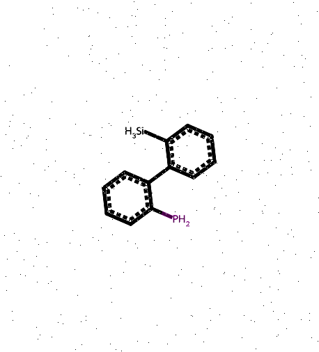 [SiH3]c1ccccc1-c1ccccc1P